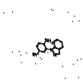 CC(C)c1ccc(N)c(-n2ncc3ccccc32)c1